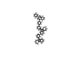 C/N=C(\N=C(/c1ccccc1)c1ccc(-c2cccc(-n3c4c(c5ccc(-c6cccc(-n7c8c(c9ccccc97)CCC=C8)c6)cc53)C=CCC4)c2)cc1)c1ccccc1